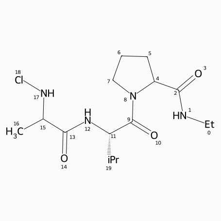 CCNC(=O)C1CCCN1C(=O)[C@@H](NC(=O)C(C)NCl)C(C)C